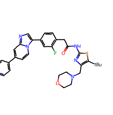 CC(C)(C)c1sc(NC(=O)Cc2ccc(-c3cnc4cc(-c5ccncc5)ccn34)cc2F)nc1CN1CCOCC1